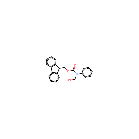 O=C(OCC1c2ccccc2-c2ccccc21)N(CO)c1ccccc1